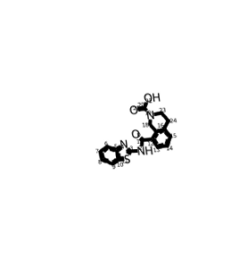 O=C(Nc1nc2ccccc2s1)c1cccc2c1CN(C(=O)O)CC2